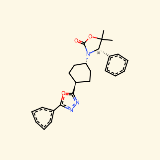 CC1(C)OC(=O)N([C@H]2CC[C@H](c3nnc(-c4ccccc4)o3)CC2)[C@H]1c1ccccc1